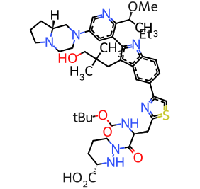 CCn1c(-c2cc(N3CCN4CCC[C@@H]4C3)cnc2[C@H](C)OC)c(CC(C)(C)CO)c2cc(-c3csc(C[C@H](NC(=O)OC(C)(C)C)C(=O)N4CCC[C@@H](C(=O)O)N4)n3)ccc21